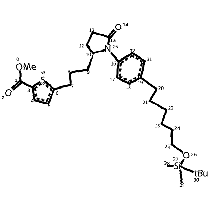 COC(=O)c1ccc(CCC[C@H]2CCC(=O)N2c2ccc(CCCCCCO[Si](C)(C)C(C)(C)C)cc2)s1